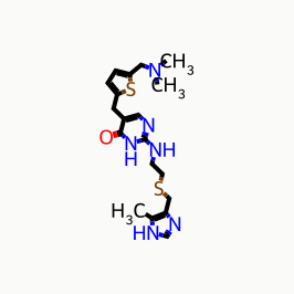 Cc1[nH]cnc1CSCCNc1ncc(Cc2ccc(CN(C)C)s2)c(=O)[nH]1